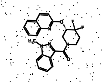 Cn1nc(C(=O)N2CCC(F)(F)[C@@H](Oc3ccc4ccccc4n3)C2)c2ccccc21